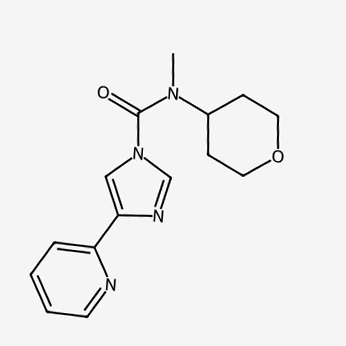 CN(C(=O)n1cnc(-c2ccccn2)c1)C1CCOCC1